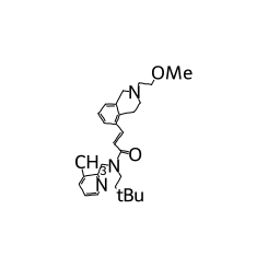 COCCN1CCc2c(/C=C/C(=O)N(CCC(C)(C)C)Cc3ncccc3C)cccc2C1